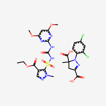 CC1(C(=O)O)CC(C(=O)O)=NN1c1ccc(Cl)cc1Cl.CCOC(=O)c1cnn(C)c1S(=O)(=O)NC(=O)Nc1nc(OC)cc(OC)n1